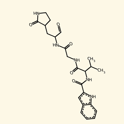 CC(C)C(NC(=O)c1cc2ccccc2[nH]1)C(=O)NCC(=O)NC(C=O)CC1CCNC1=O